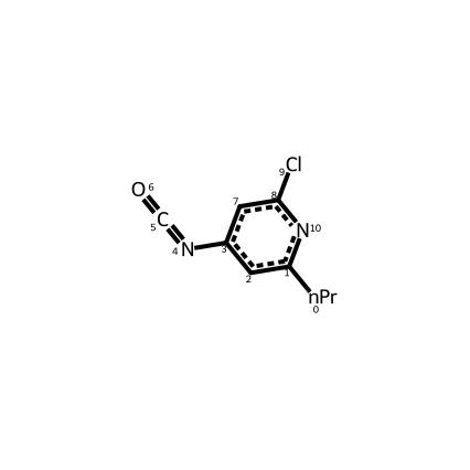 CCCc1cc(N=C=O)cc(Cl)n1